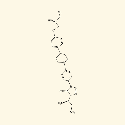 CC[C@H](O)COc1ccc(N2CCN(c3ccc(-n4cnn([C@H](C)CC)c4=O)cc3)CC2)cc1